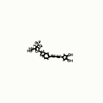 C[C@@](CCc1nc2ccc(C#CC#C[C@H]3C[C@@H](O)[C@@H](O)C3)cc2s1)(C(=O)NO)S(C)(=O)=O